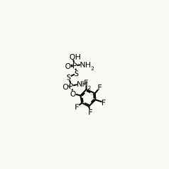 NP(=O)(O)SSP(N)(=O)Oc1c(F)c(F)c(F)c(F)c1F